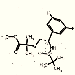 COC(=O)C(C)(C)SC[C@@H](N[S+]([O-])C(C)(C)C)c1cc(F)cc(F)c1